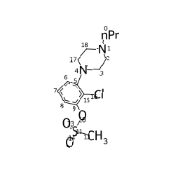 CCCN1CCN(c2cccc(OS(C)(=O)=O)c2Cl)CC1